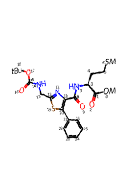 COC(=O)[C@H](CCSC)NC(=O)c1nc(CNC(=O)OC(C)(C)C)sc1-c1ccccc1